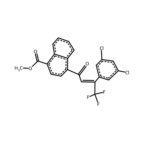 COC(=O)c1ccc(C(=O)/C=C(\c2cc(Cl)cc(Cl)c2)C(F)(F)F)c2ccccc12